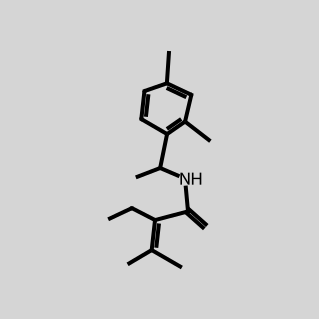 C=C(NC(C)c1ccc(C)cc1C)C(CC)=C(C)C